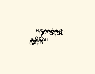 CC(C)=CCC/C(C)=C/CC/C(C)=C/CSC[C@H](NC(=O)N1CCOCC1)C(=O)O